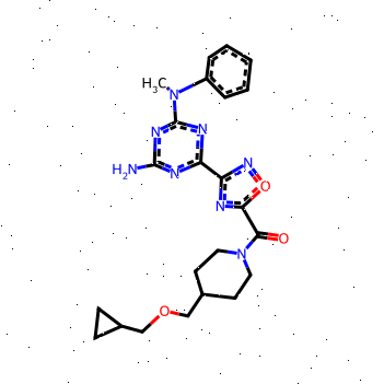 CN(c1ccccc1)c1nc(N)nc(-c2noc(C(=O)N3CCC(COCC4CC4)CC3)n2)n1